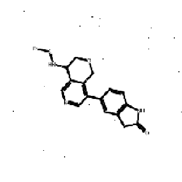 CCSNC1COCc2c(-c3ccc4c(c3)CC(=O)N4)cncc21